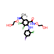 C/C(=N/OCCO)c1cc(C(=O)NOCCO)c(Nc2ccc(I)cc2F)c(F)c1F